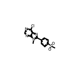 Cn1c(-c2ccc(S(C)(=O)=O)cc2)nc2c(Cl)ncnc21